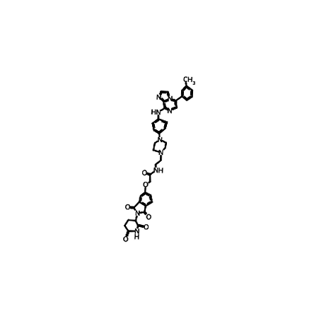 Cc1cccc(-c2cnc(Nc3ccc(N4CCN(CCNC(=O)COc5ccc6c(c5)C(=O)N(C5CCC(=O)NC5=O)C6=O)CC4)cc3)c3nccn23)c1